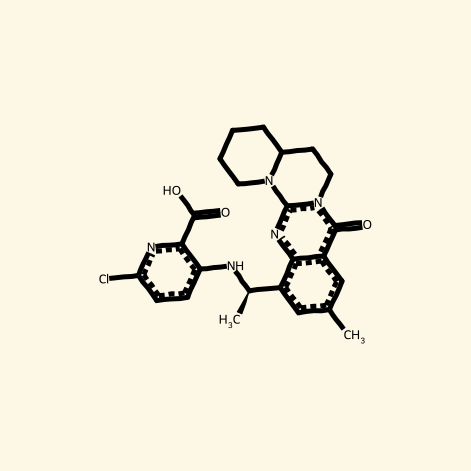 Cc1cc([C@@H](C)Nc2ccc(Cl)nc2C(=O)O)c2nc3n(c(=O)c2c1)CCC1CCCCN31